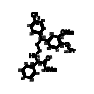 CNC(=O)[C@H](NCC[C@@H](c1ccc(C(F)(F)F)cc1)c1ccc(OC(C)C)c(OC)c1)c1ccccc1